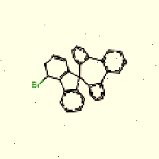 BrC1CC=CC2=C1c1ccccc1C21c2ccccc2-c2ccccc2-c2ccccc21